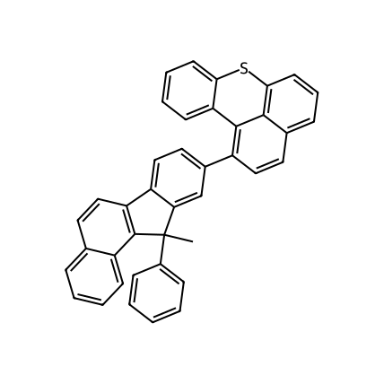 CC1(c2ccccc2)c2cc(-c3ccc4cccc5c4c3-c3ccccc3S5)ccc2-c2ccc3ccccc3c21